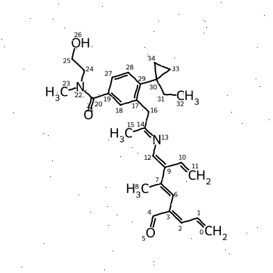 C=C\C=C(C=O)/C=C(C)/C(C=C)=C/N=C(\C)Cc1cc(C(=O)N(C)CCO)ccc1C1(CC)CC1